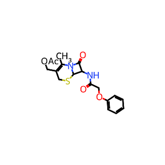 CC(=O)OCC1=C(C)N2C(=O)C(NC(=O)COc3ccccc3)C2SC1